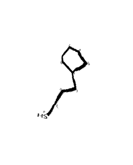 SCCCC1CCCC1